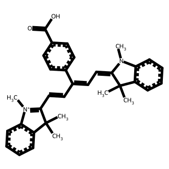 CN1/C(=C/C=C(/C=C/C2=[N+](C)c3ccccc3C2(C)C)c2ccc(C(=O)O)cc2)C(C)(C)c2ccccc21